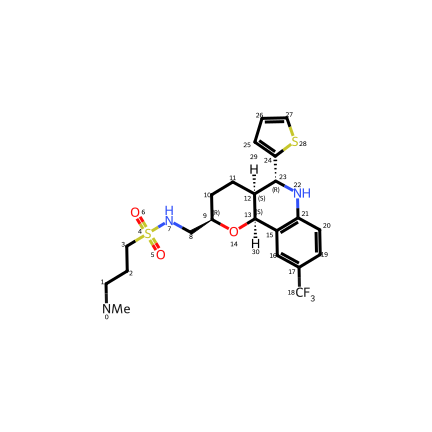 CNCCCS(=O)(=O)NC[C@H]1CC[C@@H]2[C@H](O1)c1cc(C(F)(F)F)ccc1N[C@H]2c1cccs1